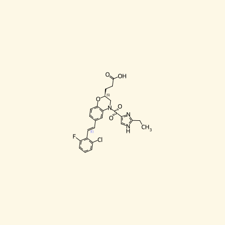 CCc1nc(S(=O)(=O)N2C[C@H](CCC(=O)O)Oc3ccc(/C=C/c4c(F)cccc4Cl)cc32)c[nH]1